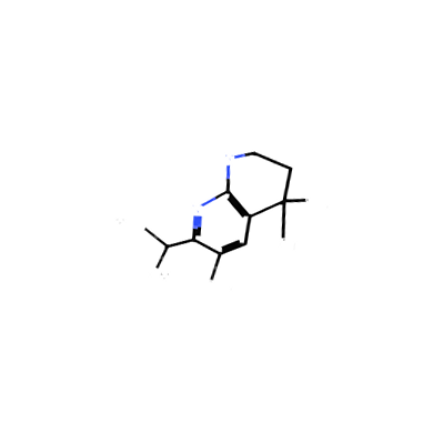 COC(OC)c1nc2c(cc1C=O)C(C)(C)CCN2